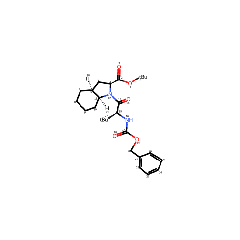 CC(C)(C)OC(=O)[C@@H]1C[C@@H]2CCCC[C@@H]2N1C(=O)[C@@H](NC(=O)OCc1ccccc1)C(C)(C)C